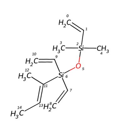 C=C[Si](C)(C)O[Si](C=C)(C=C)C(C)=CC